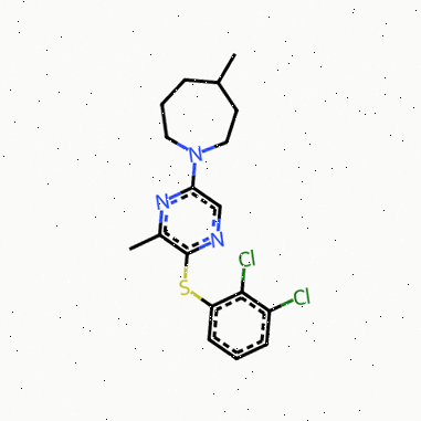 Cc1nc(N2CCCC(C)CC2)cnc1Sc1cccc(Cl)c1Cl